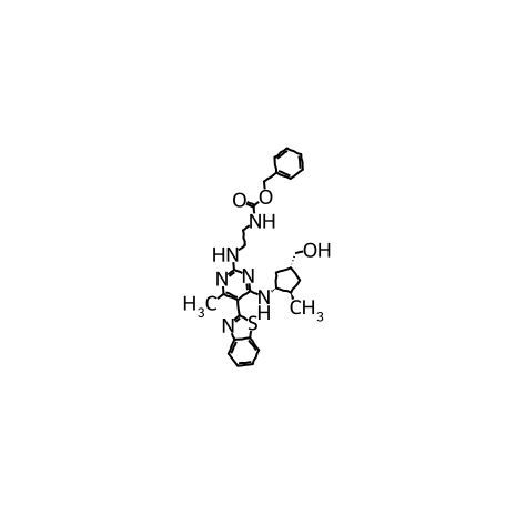 Cc1nc(NCCNC(=O)OCc2ccccc2)nc(N[C@@H]2C[C@H](CO)C[C@H]2C)c1-c1nc2ccccc2s1